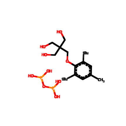 Cc1cc(C(C)(C)C)c(OCC(CO)(CO)CO)c(C(C)(C)C)c1.OP(O)OP(O)O